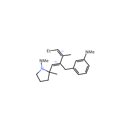 CC/C=C(C)\C(=C\C1(C)CCCN1NC)Cc1cccc(NC)c1